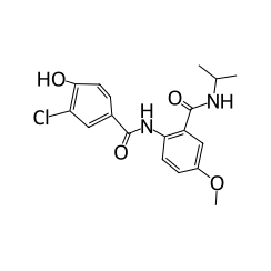 COc1ccc(NC(=O)c2ccc(O)c(Cl)c2)c(C(=O)NC(C)C)c1